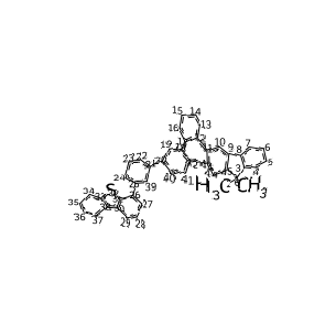 CC1(C)c2ccccc2-c2cc3c4ccccc4c4cc(-c5cccc(-c6cccc7c6sc6ccccc67)c5)ccc4c3cc21